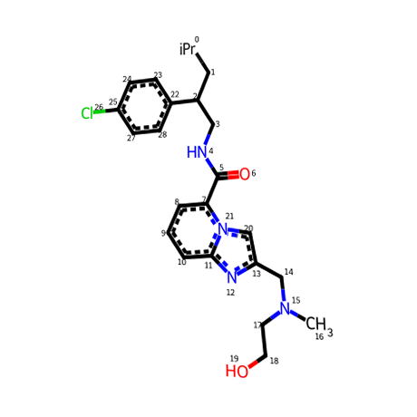 CC(C)CC(CNC(=O)c1cccc2nc(CN(C)CCO)cn12)c1ccc(Cl)cc1